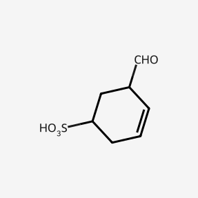 O=CC1C=CCC(S(=O)(=O)O)C1